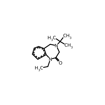 CCN1C(=O)CN(C(C)(C)C)Cc2ccccc21